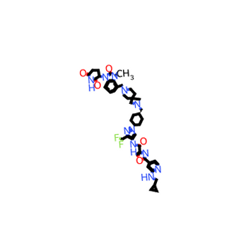 Cn1c(=O)n(C2CCC(=O)NC2=O)c2cccc(CN3CCC4(CC3)CN(C[C@H]3CC[C@H](n5cc(NC(=O)c6coc(-c7ccnc(NCC8CC8)c7)n6)c(C(F)F)n5)CC3)C4)c21